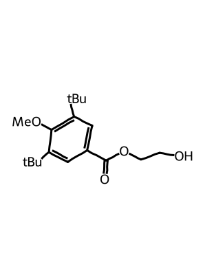 COc1c(C(C)(C)C)cc(C(=O)OCCO)cc1C(C)(C)C